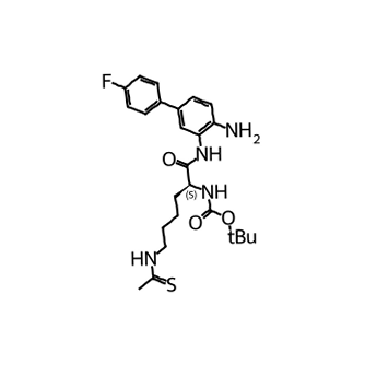 CC(=S)NCCCC[C@H](NC(=O)OC(C)(C)C)C(=O)Nc1cc(-c2ccc(F)cc2)ccc1N